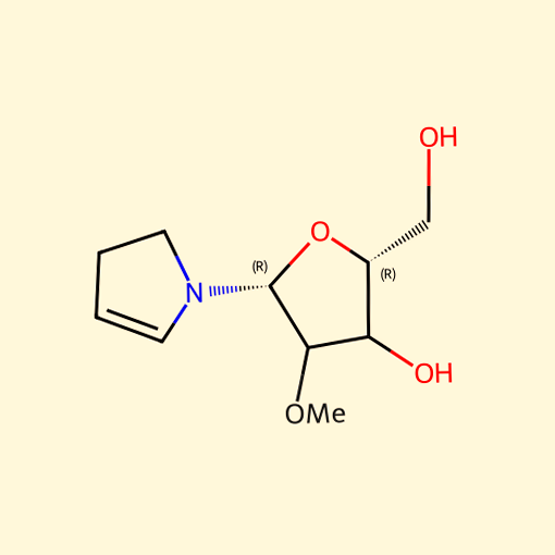 COC1C(O)[C@@H](CO)O[C@H]1N1C=CCC1